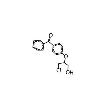 O=C(c1ccccc1)c1ccc(OC(CO)CCl)cc1